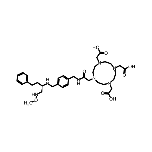 CONC[C@@H](CCc1ccccc1)NCc1ccc(CNC(=O)CN2CCN(CC(=O)O)CCN(CC(=O)O)CCN(CC(=O)O)CC2)cc1